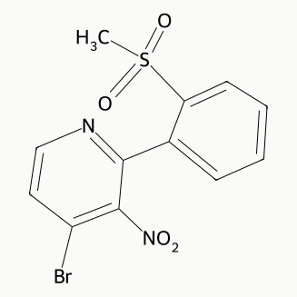 CS(=O)(=O)c1ccccc1-c1nccc(Br)c1[N+](=O)[O-]